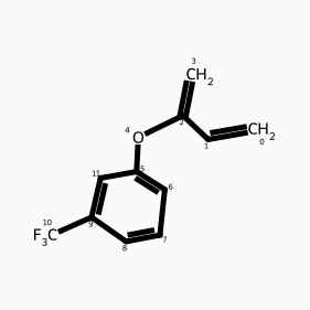 C=CC(=C)Oc1cccc(C(F)(F)F)c1